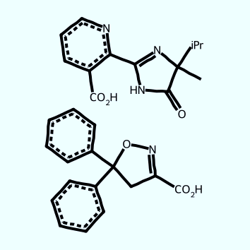 CC(C)C1(C)N=C(c2ncccc2C(=O)O)NC1=O.O=C(O)C1=NOC(c2ccccc2)(c2ccccc2)C1